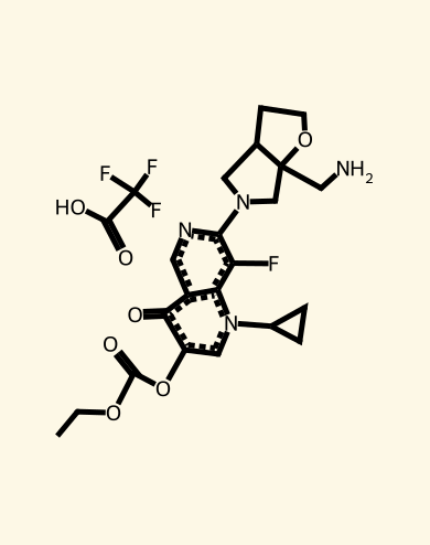 CCOC(=O)Oc1cn(C2CC2)c2c(F)c(N3CC4CCOC4(CN)C3)ncc2c1=O.O=C(O)C(F)(F)F